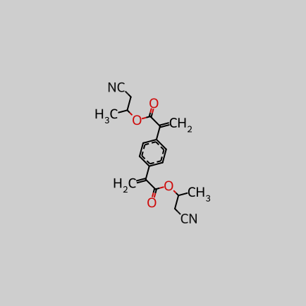 C=C(C(=O)OC(C)CC#N)c1ccc(C(=C)C(=O)OC(C)CC#N)cc1